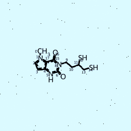 Cn1ccc2[nH]c(=O)n(CCC(S)CS)c(=O)c21